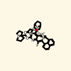 C#Cc1cccc2cccc(-c3ncc4c(N5CC6CCC(C5)N6C(=O)[C@@H]5CC(=O)O5)nc(OCC56CCCN5CCC6)nc4c3F)c12